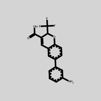 Nc1cccc(-c2ccc3c(c2)C=C(C(=O)O)C(C(F)(F)F)O3)c1